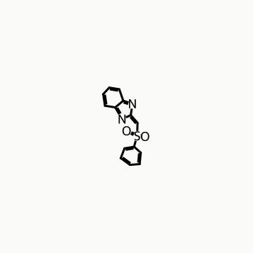 O=S(=O)(C=C1N=c2ccccc2=N1)c1ccccc1